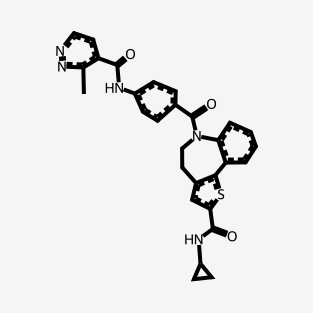 Cc1nnccc1C(=O)Nc1ccc(C(=O)N2CCc3cc(C(=O)NC4CC4)sc3-c3ccccc32)cc1